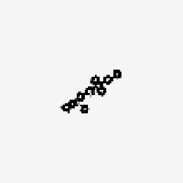 c1ccc(-c2ccc(-c3c4ccccc4c(-c4ccc(-c5ccc6c7cc8ccccc8cc7n(-c7ccccc7)c6c5)nc4)c4ccccc34)cc2)cc1